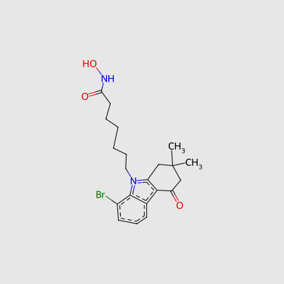 CC1(C)CC(=O)c2c(n(CCCCCCC(=O)NO)c3c(Br)cccc23)C1